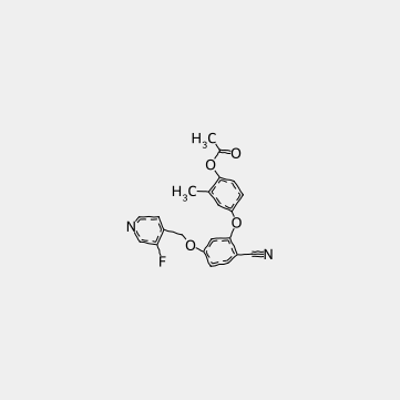 CC(=O)Oc1ccc(Oc2cc(OCc3ccncc3F)ccc2C#N)cc1C